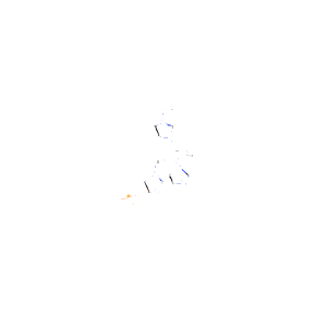 CCCC[n+]1ccn(C)c1.CCCC[n+]1ccn(C)c1.CCCC[n+]1ccn(C)c1.CCS(CC)=P([O-])([O-])[S-]